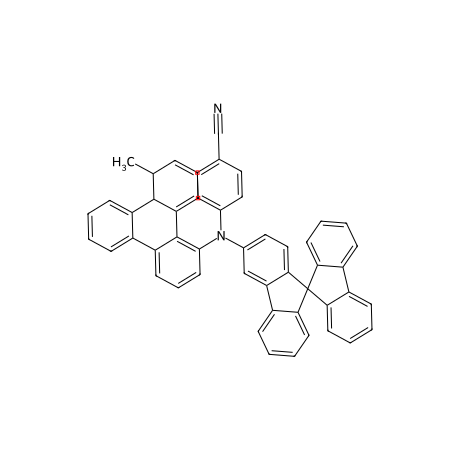 CC1C=CC=C2c3c(cccc3N(c3ccc(C#N)cc3)c3ccc4c(c3)-c3ccccc3C43c4ccccc4-c4ccccc43)-c3ccccc3C21